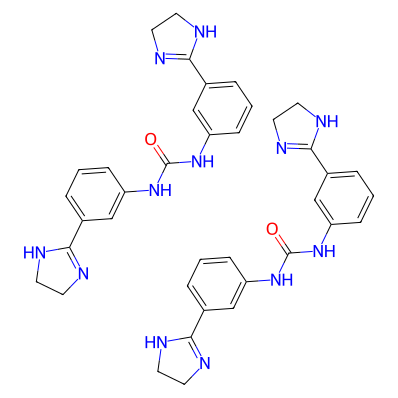 O=C(Nc1cccc(C2=NCCN2)c1)Nc1cccc(C2=NCCN2)c1.O=C(Nc1cccc(C2=NCCN2)c1)Nc1cccc(C2=NCCN2)c1